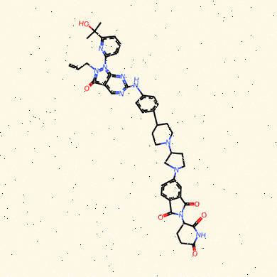 C=CCn1c(=O)c2cnc(Nc3ccc(C4CCN(C5CCN(c6ccc7c(c6)C(=O)N(C6CCC(=O)NC6=O)C7=O)C5)CC4)cc3)nc2n1-c1cccc(C(C)(C)O)n1